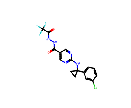 O=C(NNC(=O)C(F)(F)F)c1cnc(NC2(c3cccc(Cl)c3)CC2)nc1